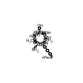 CCCCCOc1ccc(-c2ccc(-c3ccc(C(=O)NC4C[C@@H](O)C(OCCOCCN)NC(=O)C5[C@@H](O)[C@@H](C)CN5C(=O)C([C@@H](C)O)NC(=O)C([C@H](O)[C@@H](O)c5ccc(O)cc5)NC(=O)C5C[C@@H](O)CN5C(=O)C([C@@H](C)O)NC4=O)cc3)cc2)cc1